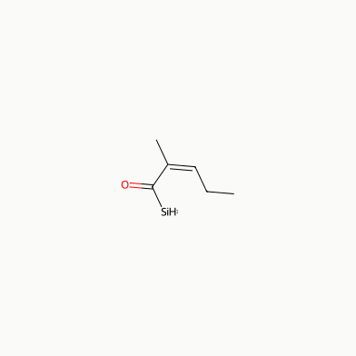 CCC=C(C)C(=O)[SiH]